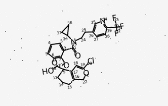 O=C(c1ccccc1OC1(C(=O)O)CCCC2=C1C=C(Cl)OC2)N(CCc1ccc(C(F)(F)F)nc1)C1CC1